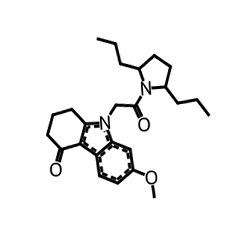 CCCC1CCC(CCC)N1C(=O)Cn1c2c(c3ccc(OC)cc31)C(=O)CCC2